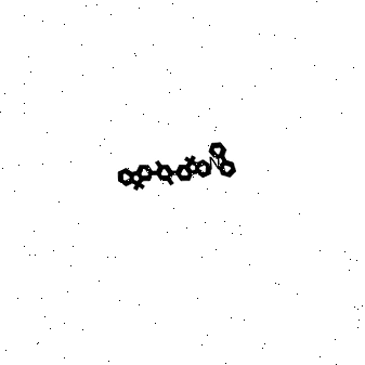 Cc1cc(-c2ccc3c(c2)C(C)(C)c2cc(-n4c5ccccc5c5ccccc54)ccc2-3)c(C)cc1-c1ccc2c(c1)C(C)(C)c1ccccc1-2